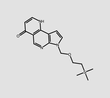 C[Si](C)(C)CCOCn1ccc2c3[nH]ccc(=O)c3cnc21